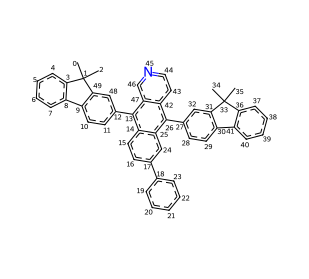 CC1(C)c2ccccc2-c2ccc(-c3c4ccc(-c5ccccc5)cc4c(-c4ccc5c(c4)C(C)(C)c4ccccc4-5)c4ccncc34)cc21